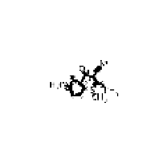 CSC(SC)=C(C#N)C(=O)c1cccc(C)c1